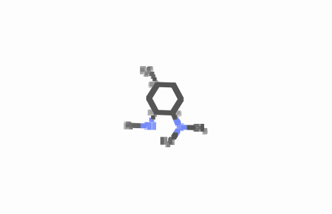 CC(C)N[C@@H]1C[C@H](C(F)(F)F)CC[C@H]1N(C)C